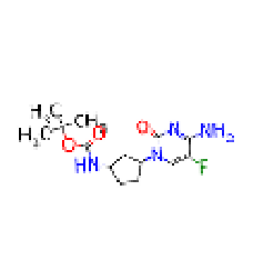 CC(C)(C)OC(=O)N[C@H]1CC[C@H](n2cc(F)c(N)nc2=O)C1